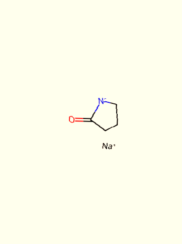 O=C1CCC[N-]1.[Na+]